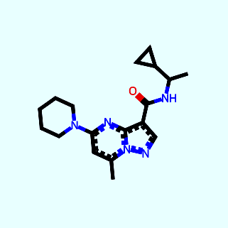 Cc1cc(N2CCCCC2)nc2c(C(=O)NC(C)C3CC3)cnn12